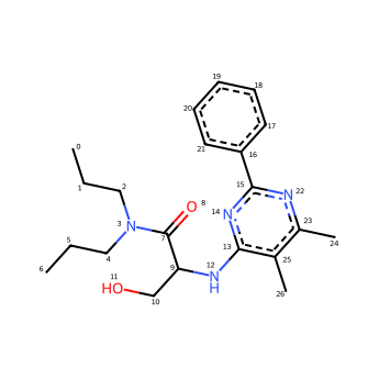 CCCN(CCC)C(=O)C(CO)Nc1nc(-c2ccccc2)nc(C)c1C